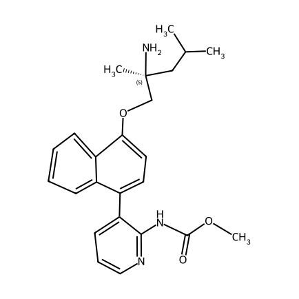 COC(=O)Nc1ncccc1-c1ccc(OC[C@@](C)(N)CC(C)C)c2ccccc12